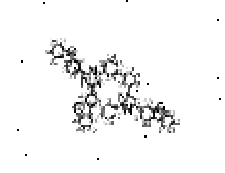 c1ccc(-c2nc(-c3cccc(-c4cccc(-c5nc(-c6ccc7c(c6)oc6ccccc67)nc(-c6ccc7c(c6)oc6ccccc67)n5)c4)c3)cc(-c3ccc4c(c3)oc3ccccc34)n2)cc1